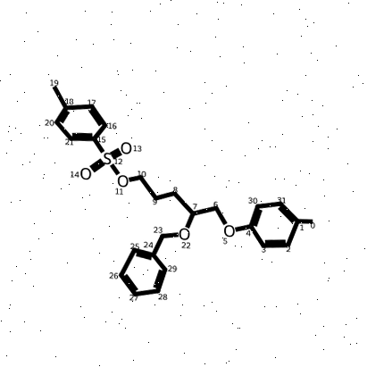 Cc1ccc(OCC(CCCOS(=O)(=O)c2ccc(C)cc2)OCc2ccccc2)cc1